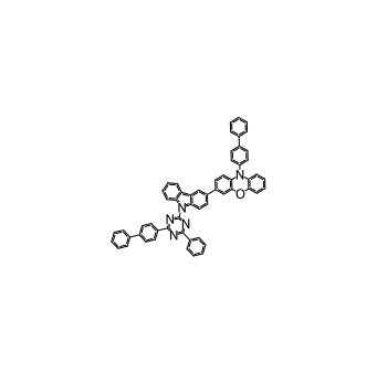 c1ccc(-c2ccc(-c3nc(-c4ccccc4)nc(-n4c5ccccc5c5cc(-c6ccc7c(c6)Oc6ccccc6N7c6ccc(-c7ccccc7)cc6)ccc54)n3)cc2)cc1